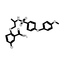 COc1ccc(Oc2ccc(S(=O)(=O)NC(C)COc3ccc(Cl)cc3C(N)=O)cc2)cc1